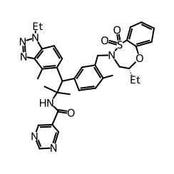 CC[C@@H]1CN(Cc2cc(C(c3ccc4c(nnn4CC)c3C)C(C)(C)NC(=O)c3cncnc3)ccc2C)S(=O)(=O)c2ccccc2O1